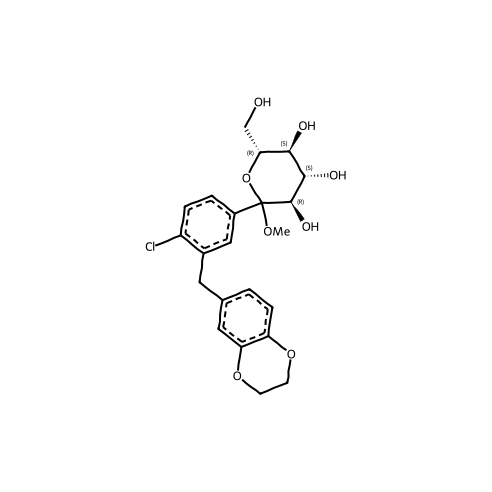 COC1(c2ccc(Cl)c(Cc3ccc4c(c3)OCCO4)c2)O[C@H](CO)[C@@H](O)[C@H](O)[C@H]1O